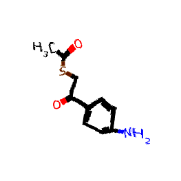 CC(=O)SCC(=O)c1ccc(N)cc1